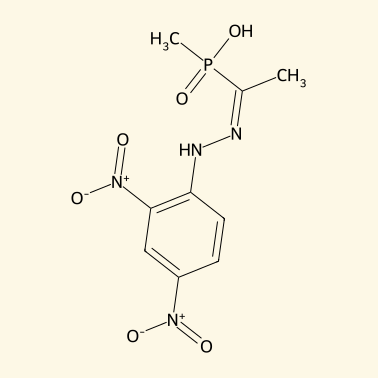 CC(=NNc1ccc([N+](=O)[O-])cc1[N+](=O)[O-])P(C)(=O)O